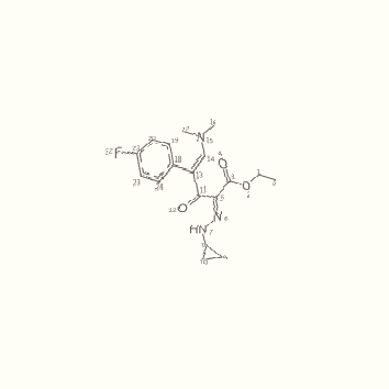 CCOC(=O)/C(=N/NC1CC1)C(=O)/C(=C/N(C)C)c1ccc(F)cc1